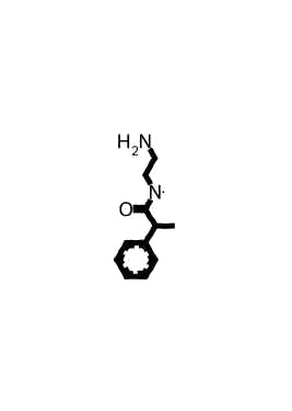 CC(C(=O)[N]CCN)c1ccccc1